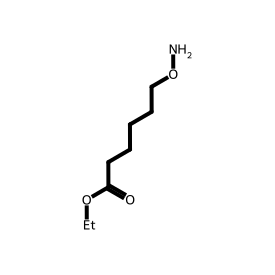 CCOC(=O)CCCCCON